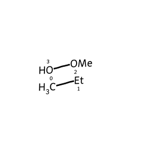 CCC.COO